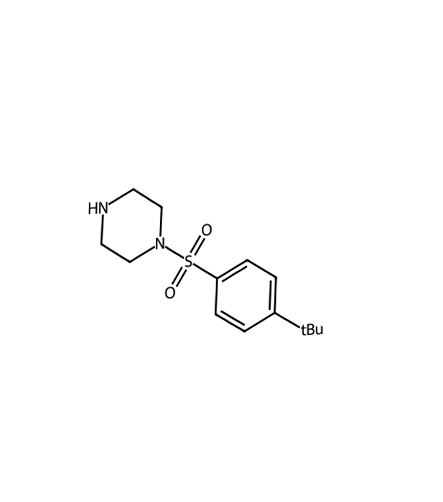 CC(C)(C)c1ccc(S(=O)(=O)N2CCNCC2)cc1